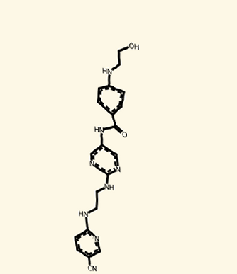 N#Cc1ccc(NCCNc2ncc(NC(=O)c3ccc(NCCO)cc3)cn2)nc1